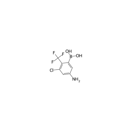 Nc1cc(Cl)c(C(F)(F)F)c(B(O)O)c1